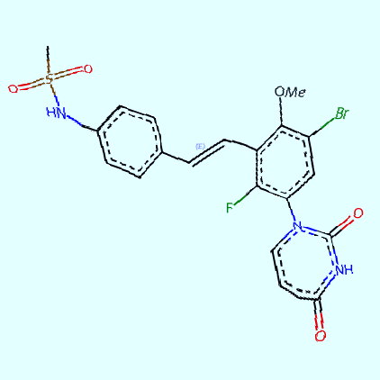 COc1c(Br)cc(-n2ccc(=O)[nH]c2=O)c(F)c1/C=C/c1ccc(NS(C)(=O)=O)cc1